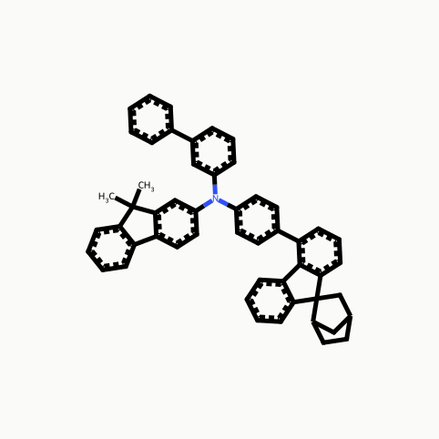 CC1(C)c2ccccc2-c2ccc(N(c3ccc(-c4cccc5c4-c4ccccc4C54CC5CCC4C5)cc3)c3cccc(-c4ccccc4)c3)cc21